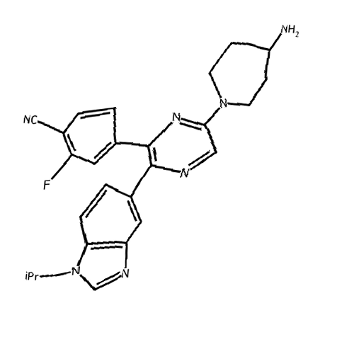 CC(C)n1cnc2cc(-c3ncc(N4CCC(N)CC4)nc3-c3ccc(C#N)c(F)c3)ccc21